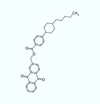 CCCCCC1CCC(c2ccc(C(=O)OCc3ccc4c(c3)C(=O)c3ccccc3C4=O)cc2)CC1